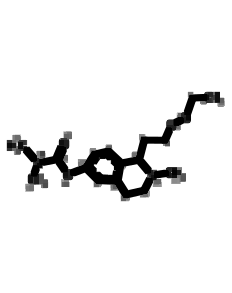 CCOOCCC1c2ccc(OC(=O)N(C)C)cc2CCN1C